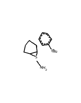 C1CCC2SC2C1.CC(C)(C)c1ccccc1.CN